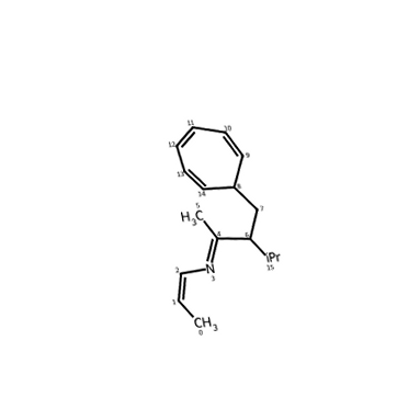 C/C=C\N=C(/C)C(CC1C=CC=CC=C1)C(C)C